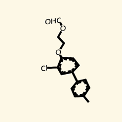 Cc1ccc(-c2ccc(OCCOC=O)c(Cl)c2)cc1